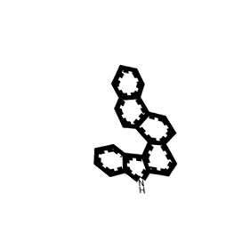 c1ccc2c(c1)ccc1c2ccc2ccc3[nH]c4ccccc4c3c21